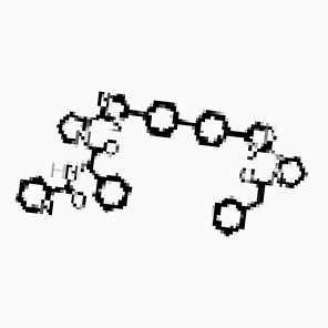 O=C(N[C@H](C(=O)N1CCC[C@H]1c1ncc(-c2ccc(-c3ccc(-c4cnc([C@@H]5CCCN5C(=O)Cc5ccccc5)s4)cc3)cc2)s1)c1ccccc1)c1ccccn1